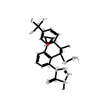 C/C(=C(\ON)c1c(C2CC2)cccc1-n1nnn(C)c1=O)c1ccc(C(F)(F)F)cc1